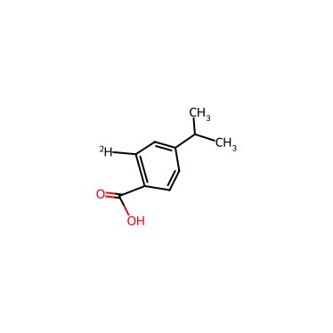 [2H]c1cc(C(C)C)ccc1C(=O)O